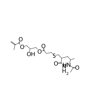 C=C(C)C(=O)OCC(O)COC(=O)CCSCC(CC(C)NC(C)=O)C(N)=O